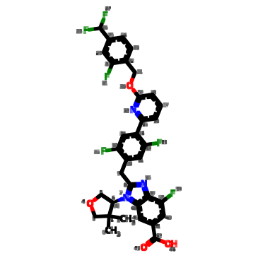 CC1(C)COC[C@H]1n1c(Cc2cc(F)c(-c3cccc(OCc4ccc(C(F)F)cc4F)n3)cc2F)nc2c(F)cc(C(=O)O)cc21